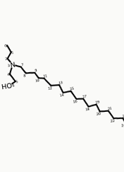 [CH2]CCN(CCO)CCCCCCCCCCCCCCCCCC